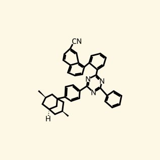 C[C@@H]1C[C@@H]2C[C@H](C)CC(c3ccc(-c4nc(-c5ccccc5)nc(-c5ccccc5-c5cccc6ccc(C#N)cc56)n4)cc3)(C1)C2